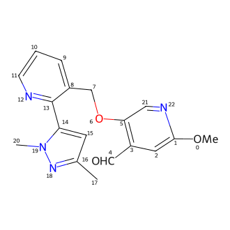 COc1cc(C=O)c(OCc2cccnc2-c2cc(C)nn2C)cn1